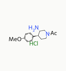 COc1ccc([C@@H]2CCN(C(C)=O)C[C@H]2N)cc1.Cl